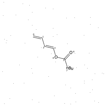 C=CC=COC(=O)CCCC